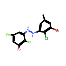 Cc1cc(Br)c(Cl)c(NNc2cc(F)cc(Br)c2F)c1